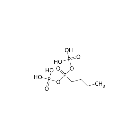 CCCCP(=O)(OP(=O)(O)O)OP(=O)(O)O